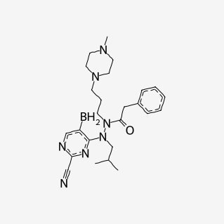 Bc1cnc(C#N)nc1N(CC(C)C)N(CCCN1CCN(C)CC1)C(=O)Cc1ccccc1